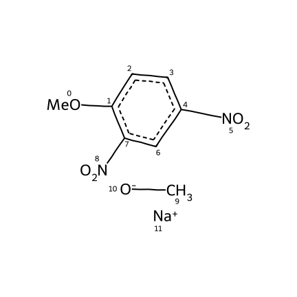 COc1ccc([N+](=O)[O-])cc1[N+](=O)[O-].C[O-].[Na+]